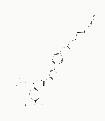 COC(=O)[C@H](COC(C)=O)NC(=O)[C@H](CO[Si](C)(C)C(C)(C)C)NC(=O)c1csc(-c2ccc(NC(=O)CCCCCN=[N+]=[N-])cc2)n1